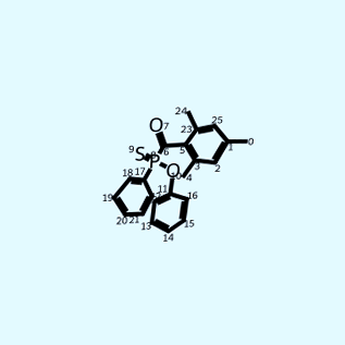 Cc1cc(C)c(C(=O)P(=S)(Oc2ccccc2)c2ccccc2)c(C)c1